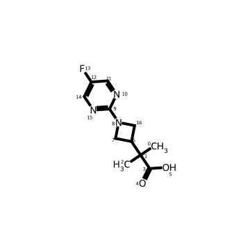 CC(C)(C(=O)O)C1CN(c2ncc(F)cn2)C1